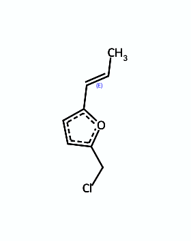 C/C=C/c1ccc(CCl)o1